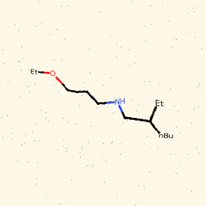 CCCCC(CC)CNCCCOCC